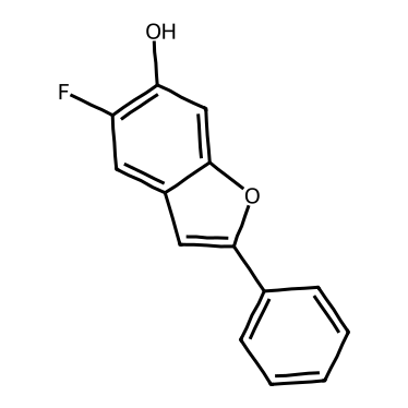 Oc1cc2oc(-c3ccccc3)cc2cc1F